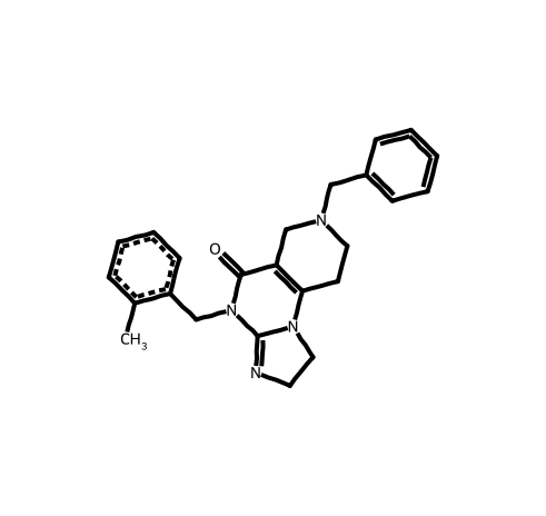 Cc1ccccc1CN1C(=O)C2=C(CCN(CC3=CC=C=C=C3)C2)N2CCN=C12